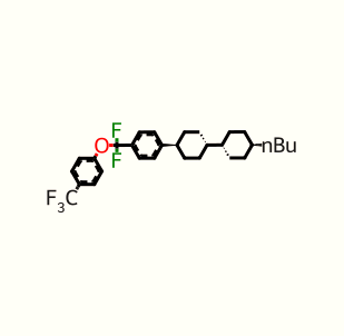 CCCC[C@H]1CC[C@H]([C@H]2CC[C@H](c3ccc(C(F)(F)Oc4ccc(C(F)(F)F)cc4)cc3)CC2)CC1